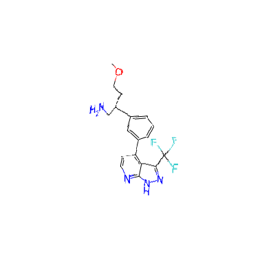 COCCC(CN)c1cccc(-c2ccnc3[nH]nc(C(F)(F)F)c23)c1